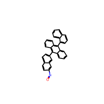 O=Nc1ccc2ccc(-c3c4ccccc4c(-c4cccc5ccccc45)c4ccccc34)cc2c1